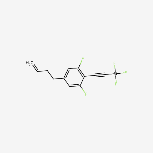 C=CCCc1cc(F)c(C#C[Si](F)(F)F)c(F)c1